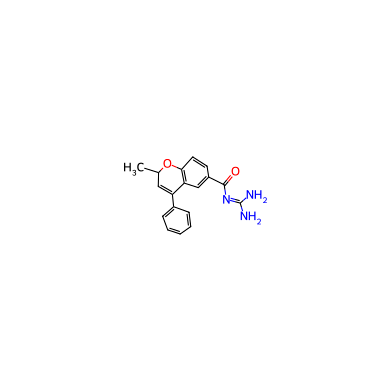 CC1C=C(c2ccccc2)c2cc(C(=O)N=C(N)N)ccc2O1